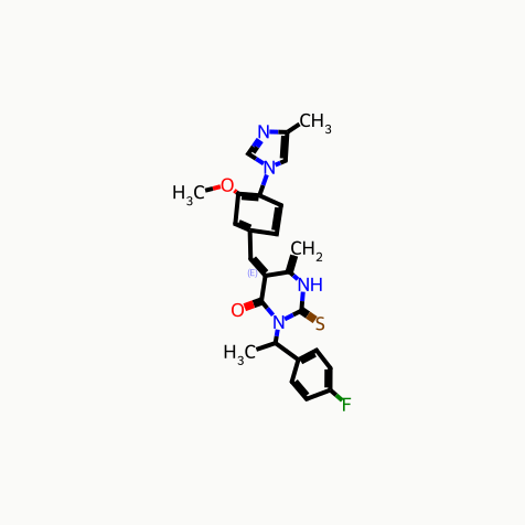 C=c1[nH]c(=S)n(C(C)c2ccc(F)cc2)c(=O)/c1=C/c1ccc(-n2cnc(C)c2)c(OC)c1